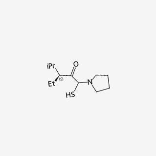 CC[C@H](C(=O)C(S)N1CCCC1)C(C)C